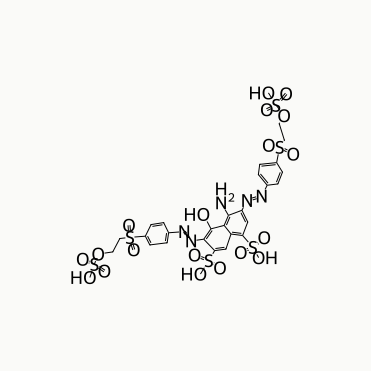 Nc1c(N=Nc2ccc(S(=O)(=O)CCOS(=O)(=O)O)cc2)cc(S(=O)(=O)O)c2cc(S(=O)(=O)O)c(N=Nc3ccc(S(=O)(=O)CCOS(=O)(=O)O)cc3)c(O)c12